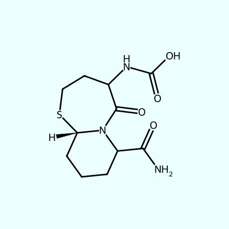 NC(=O)C1CCC[C@@H]2SCCC(NC(=O)O)C(=O)N12